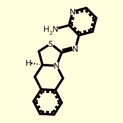 Nc1ncccc1N=C1SC[C@@H]2Cc3ccccc3CN12